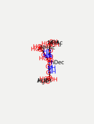 CCCCCCCCCCC(=O)NC(COCCC(=O)NCCCNC(=O)CCCCOC(OC(CO)C(C)O)C(O)NC(C)=O)(COCCC(=O)NCCCNC(=O)CCCCOC(OC(CO)C(C)O)C(O)NC(C)=O)COCCC(O)NCNC(=O)CCCCOC1OC(CO)CC(O)(O)C1NC(C)=O